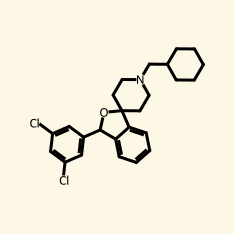 Clc1cc(Cl)cc(C2OC3(CCN(CC4CCCCC4)CC3)c3ccccc32)c1